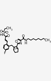 CCCCCCCCNC(=O)c1coc(C2C3CCC(O3)C2Cc2cc(F)ccc2/C=C/C(=O)NS(=O)(=O)CC)n1